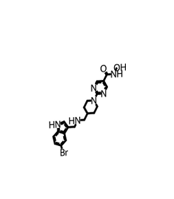 O=C(NO)c1cnc(N2CCC(CNCc3c[nH]c4ccc(Br)cc34)CC2)nc1